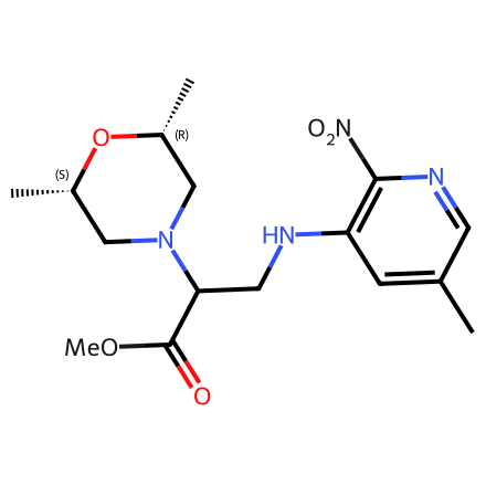 COC(=O)C(CNc1cc(C)cnc1[N+](=O)[O-])N1C[C@@H](C)O[C@@H](C)C1